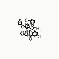 Cc1cc(Cl)cc(C(=O)NCC2CCCO2)c1NC(=O)c1cc(Oc2ccsc2)nn1-c1ncccc1Cl